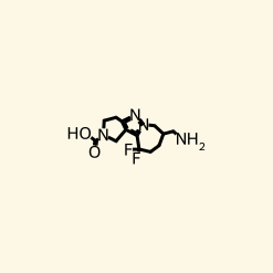 NCC1CCC(F)(F)c2c3c(nn2C1)CCN(C(=O)O)C3